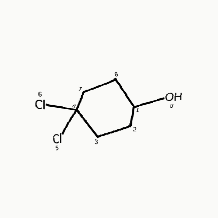 OC1CCC(Cl)(Cl)CC1